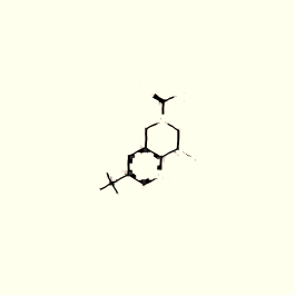 N[C@@H]1CN(C(=O)O)Cc2cc(C(F)(F)F)cnc21